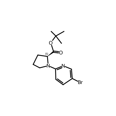 CC(C)(C)OC(=O)[C@@H]1CCCN1c1ccc(Br)cn1